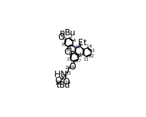 CCCCOc1ccc(/C(=C(\CC)c2ccccc2)c2ccc(OCCNC(=O)OC(C)(C)C)cc2)c(C)c1